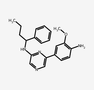 CCCC(Nc1cncc(-c2ccc(N)c(OC)c2)n1)c1ccccc1